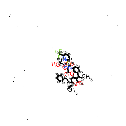 C=C(O)COCC(=O)OC1=C(C(CC)c2cccc(NS(=O)(=O)c3cccc(C(F)(F)F)n3)c2)C(=O)O[C@](CCC)(CCc2ccccc2)C1